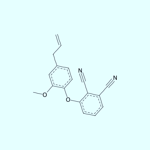 C=CCc1ccc(Oc2cccc(C#N)c2C#N)c(OC)c1